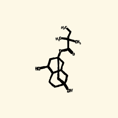 CCC(C)(C)C(=O)OC12CC(O)C3CCC(O)(CC3C1)C2